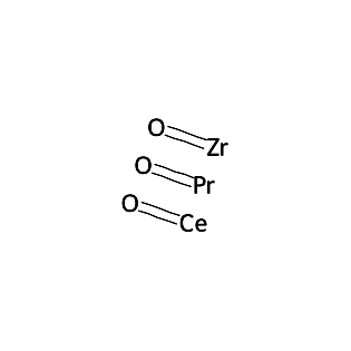 [O]=[Ce].[O]=[Pr].[O]=[Zr]